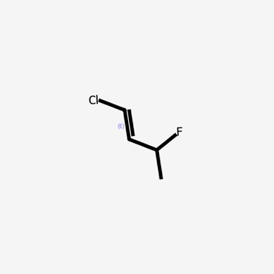 CC(F)/C=C/Cl